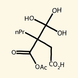 CCCC(CC(=O)O)(C(=O)OC(C)=O)C(O)(O)O